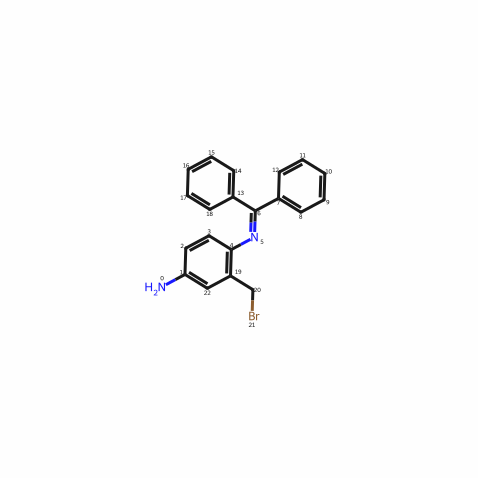 Nc1ccc(N=C(c2ccccc2)c2ccccc2)c(CBr)c1